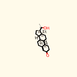 CC[C@]12CC[C@H]3[C@@H](CCC4=CC(=O)CC[C@@H]43)[C@H]1CC[C@H]2[C@H](C)O